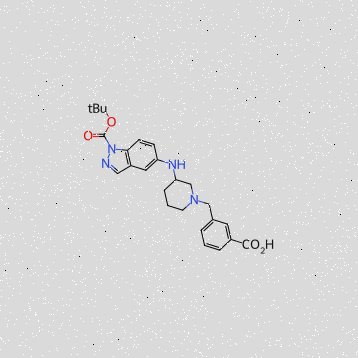 CC(C)(C)OC(=O)n1ncc2cc(NC3CCCN(Cc4cccc(C(=O)O)c4)C3)ccc21